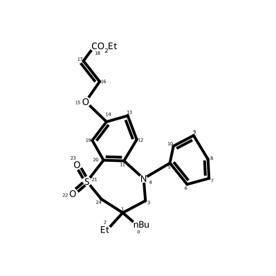 CCCCC1(CC)CN(c2ccccc2)c2ccc(O/C=C/C(=O)OCC)cc2S(=O)(=O)C1